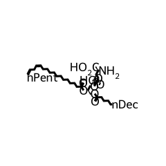 CCCCC/C=C\C/C=C\CCCCCCCCCCCC(=O)O[C@H](COC(=O)CCCCCCCCCCCCCC)COP(=O)(O)OC[C@H](N)C(=O)O